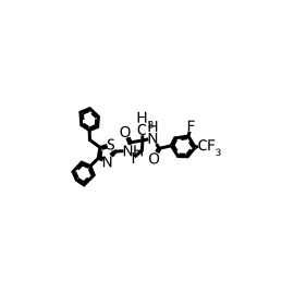 CC(CI)(NC(=O)c1ccc(C(F)(F)F)c(F)c1)C(=O)Nc1nc(-c2ccccc2)c(Cc2ccccc2)s1